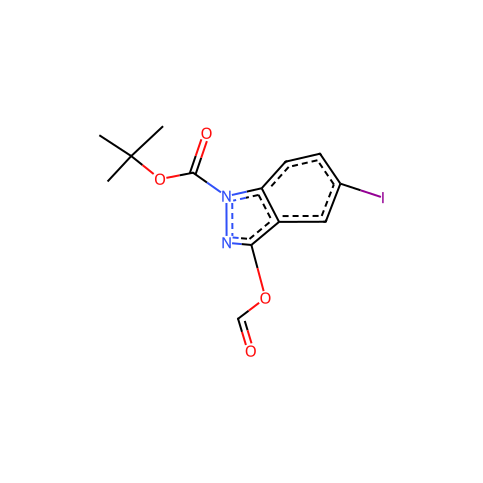 CC(C)(C)OC(=O)n1nc(OC=O)c2cc(I)ccc21